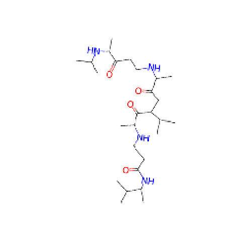 CC(C)NC(C)C(=O)CCNC(C)C(=O)CC(C(=O)C(C)NCCC(=O)NC(C)C(C)C)C(C)C